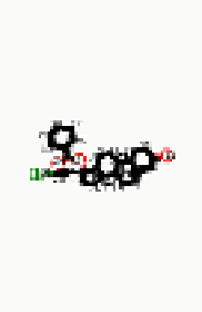 C[C@]12CC[C@H]3[C@@H](CCC4=CC(=O)CC[C@@H]43)[C@@H]1CC[C@]2(C#CBr)OC(=O)c1ccccc1